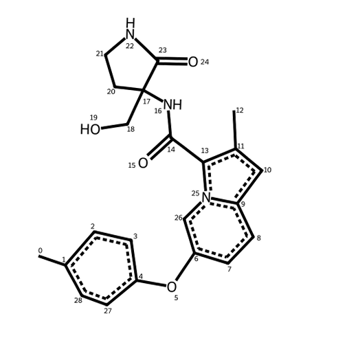 Cc1ccc(Oc2ccc3cc(C)c(C(=O)NC4(CO)CCNC4=O)n3c2)cc1